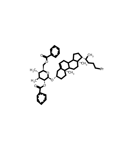 CC(C)CCCC(C)[C@H]1CCC2C3CC=C4C[C@@H](O[C@@H]5O[C@H](COC(=O)c6ccccc6)[C@@H](C)[C@H](C)[C@H]5OC(=O)c5ccccc5)CC[C@]4(C)C3CC[C@@]21C